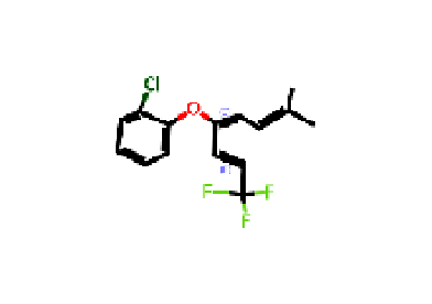 CC(C)=C/C=C(\C=C\C(F)(F)F)Oc1ccccc1Cl